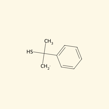 [CH2]C(C)(S)c1ccccc1